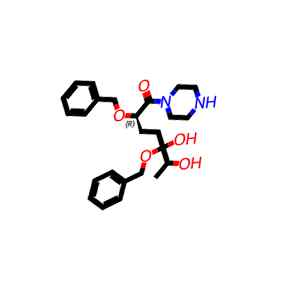 CC(O)C(O)(CC[C@@H](OCc1ccccc1)C(=O)N1CCNCC1)OCc1ccccc1